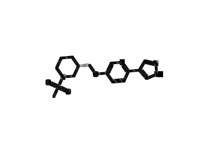 CS(=O)(=O)N1CCC[C@H](COc2ccc(-c3cn[nH]c3)nc2)C1